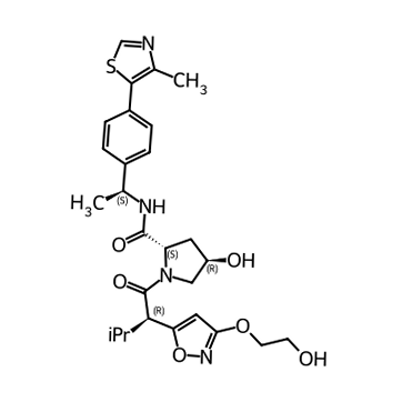 Cc1ncsc1-c1ccc([C@H](C)NC(=O)[C@@H]2C[C@@H](O)CN2C(=O)[C@@H](c2cc(OCCO)no2)C(C)C)cc1